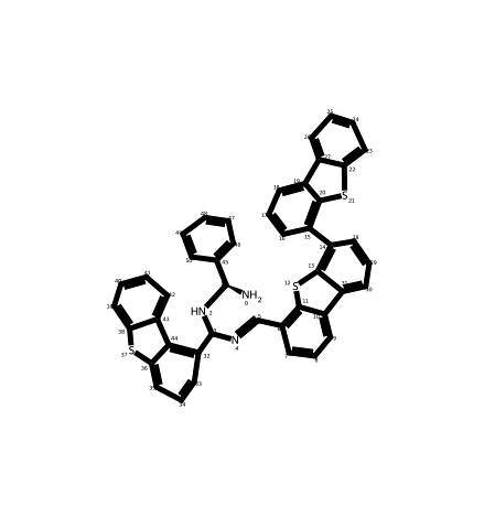 N[C@@H](NC(/N=C/c1cccc2c1sc1c(-c3cccc4c3sc3ccccc34)cccc12)c1cccc2sc3ccccc3c12)c1ccccc1